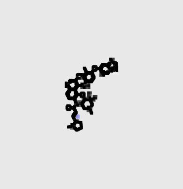 Cc1cc(Nc2c(C#N)cnc3ccc(NC(=O)/C=C/[C@H]4CCCN4C)c(O[C@@H]4CCN(C)CC4(F)F)c23)ccc1Oc1cc2ncnn2cn1